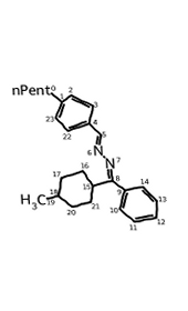 CCCCCc1ccc(C=NN=C(c2ccccc2)C2CCC(C)CC2)cc1